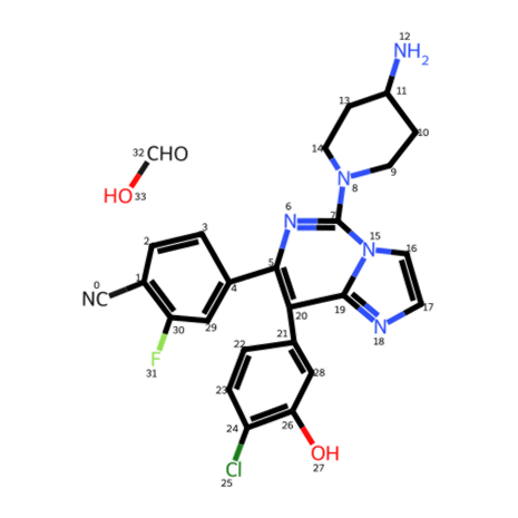 N#Cc1ccc(-c2nc(N3CCC(N)CC3)n3ccnc3c2-c2ccc(Cl)c(O)c2)cc1F.O=CO